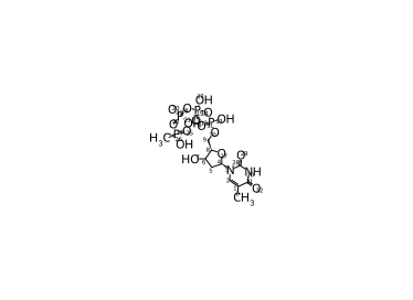 Cc1cn([C@H]2CC(O)[C@@H](COP(=O)(O)OP(=O)(O)OP(=O)(O)OP(C)(=O)O)O2)c(=O)[nH]c1=O